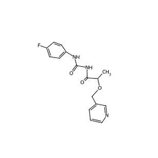 CC(OCc1cccnc1)C(=O)NC(=O)Nc1ccc(F)cc1